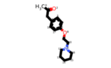 CC(=O)Cc1ccc(OCCN2CCCCC2)cc1